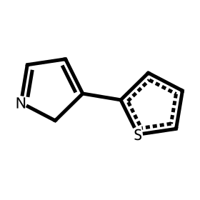 C1=NCC(c2cccs2)=C1